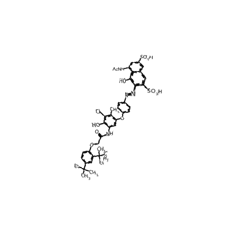 CCC(C)(C)c1ccc(OCC(=O)Nc2cc(Oc3ccc(N=Nc4c(S(=O)(=O)O)cc5cc(S(=O)(=O)O)cc(NC(C)=O)c5c4O)cc3)c(C)c(Cl)c2O)c(C(C)(C)CC)c1